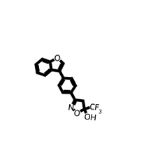 OC1(C(F)(F)F)CC(c2ccc(-c3coc4ccccc34)cc2)=NO1